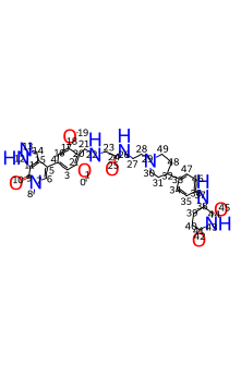 COc1cc(-c2cn(C)c(=O)c3[nH]ncc23)cc(OC)c1CNCC(=O)NCCN1CCC(c2ccc(N[C@@H]3CCC(=O)NC3=O)cc2)CC1